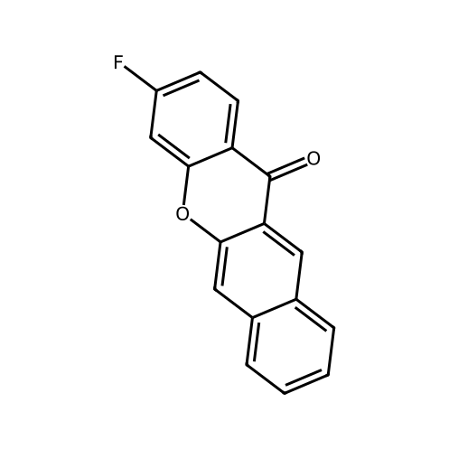 O=c1c2ccc(F)cc2oc2cc3ccccc3cc12